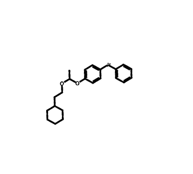 CC(OCCC1CCCCC1)Oc1ccc([I+]c2ccccc2)cc1